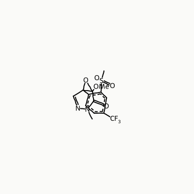 COC12OC1(c1ccc(C(F)(F)F)cc1S(C)(=O)=O)C=NN(C)C2=O